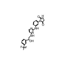 O=C1CNC(=O)N1c1cccc(Nc2nccc(NCC(O)c3cccc(C(F)(F)F)c3)n2)c1